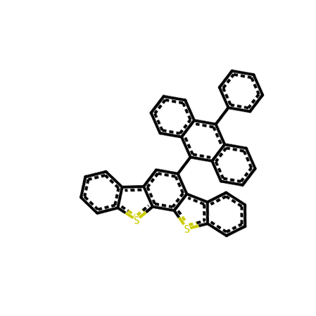 c1ccc(-c2c3ccccc3c(-c3cc4c5ccccc5sc4c4sc5ccccc5c34)c3ccccc23)cc1